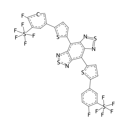 Fc1ccc(-c2ccc(-c3c4c(c(-c5ccc(-c6ccc(F)c(S(F)(F)(F)(F)F)c6)s5)c5nsnc35)N=S=N4)s2)cc1S(F)(F)(F)(F)F